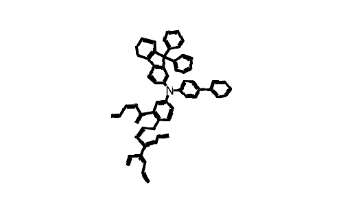 C=C/C=C\C(=C)c1cc(N(c2ccc(-c3ccccc3)cc2)c2ccc3c(c2)C(c2ccccc2)(c2ccccc2)C2=C3CCC=C2)ccc1C\C=C/C(=C\C=C)C(/C=C)=C/C=C